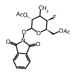 CC(=O)OC[C@H]1OC(ON2C(=O)c3ccccc3C2=O)[C@H](OC(C)=O)C(C)[C@H]1F